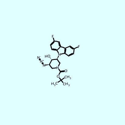 CC(C)(C)OC(=O)N1C[C@@H](N=[N+]=[N-])[C@H](O)[C@@H](n2c3ccc(F)cc3c3cc(F)ccc32)C1